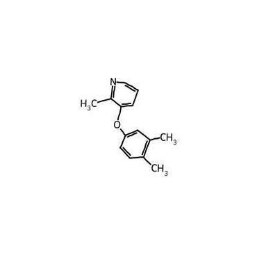 Cc1ccc(Oc2cccnc2C)cc1C